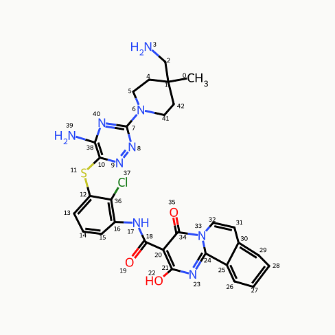 CC1(CN)CCN(c2nnc(Sc3cccc(NC(=O)c4c(O)nc5c6ccccc6ccn5c4=O)c3Cl)c(N)n2)CC1